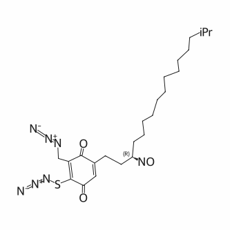 CC(C)CCCCCCCCCCC[C@H](CCC1=CC(=O)C(SN=[N+]=[N-])=C(CN=[N+]=[N-])C1=O)N=O